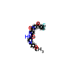 COc1ccc(CN2CCC(NC(=O)c3ccc(C(=O)N4CCC(C(=O)c5ccc(F)c(F)c5)CC4)cn3)CC2)cc1